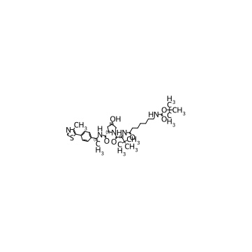 Cc1ncsc1-c1ccc([C@H](C)NC(=O)[C@@H]2C[C@@H](O)CN2C(=O)[C@@H](NC(=O)CCCCCCNC(=O)OC(C)(C)C)C(C)(C)C)cc1